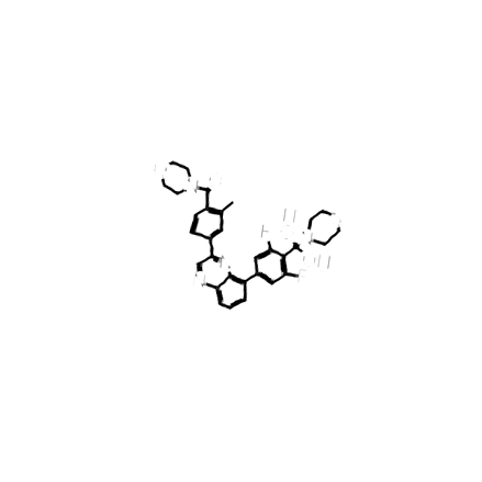 Cc1cc(-c2cnc3cccc(-c4cc(F)c(C(O)(O)N5CCSCC5)c(F)c4)c3n2)ccc1C(=O)N1CCOCC1